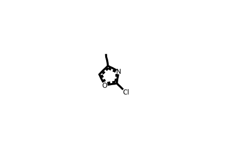 Cc1coc(Cl)n1